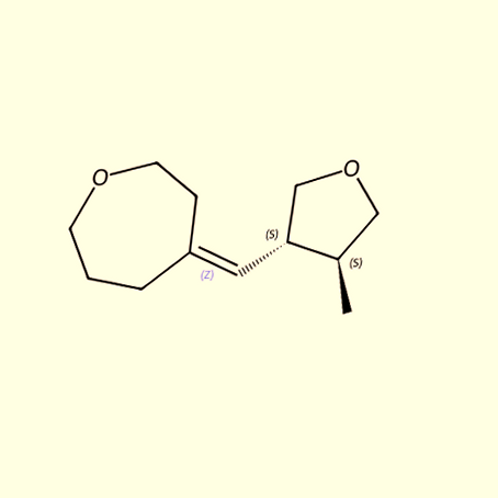 C[C@@H]1COC[C@H]1/C=C1/CCCOCC1